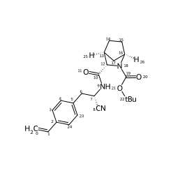 C=Cc1ccc(C[C@@H](C#N)NC(=O)[C@@H]2[C@H]3CC[C@H](C3)N2C(=O)OC(C)(C)C)cc1